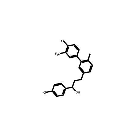 Cc1ccc(CCC(O)c2ccc(Cl)cc2)cc1-c1ccc(Cl)c(C(F)(F)F)c1